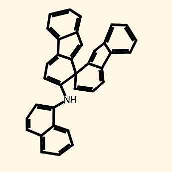 C1=CC2(C(Nc3cccc4ccccc34)=CC=C3C2=Cc2ccccc23)C2=Cc3ccccc3C2=C1